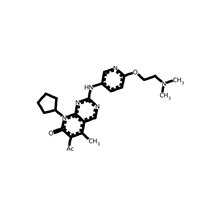 CC(=O)c1c(C)c2cnc(Nc3ccc(OCCN(C)C)nc3)nc2n(C2CCCC2)c1=O